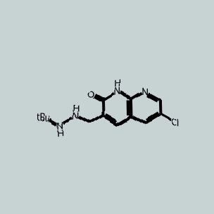 CC(C)(C)NNCc1cc2cc(Cl)cnc2[nH]c1=O